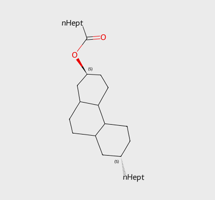 CCCCCCCC(=O)O[C@H]1CCC2C(CCC3C[C@@H](CCCCCCC)CCC32)C1